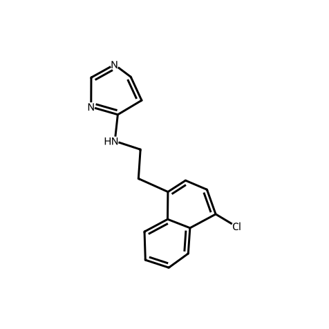 Clc1ccc(CCNc2ccncn2)c2ccccc12